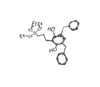 CCO[Si](CCCc1c(O)c(Cc2ccccc2)cc(Cc2ccccc2)c1O)(OCC)OCC